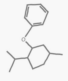 CC1CCC(C(C)C)[C](Oc2ccccc2)C1